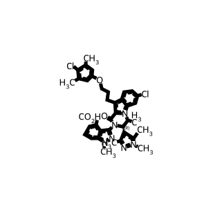 Cc1cc(OCCCc2c3n(c4cc(Cl)ccc24)C(C)[C@@H](c2c(C)nn(C)c2C)N(c2nn(C)c4cccc(C(=O)O)c24)C3=O)cc(C)c1Cl